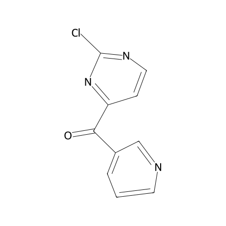 O=C(c1cccnc1)c1ccnc(Cl)n1